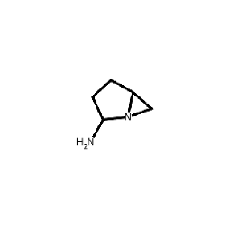 NC1CCC2CN12